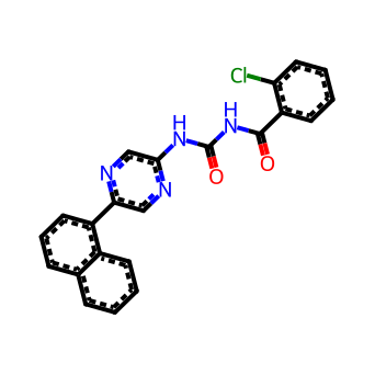 O=C(NC(=O)c1ccccc1Cl)Nc1cnc(-c2cccc3ccccc23)cn1